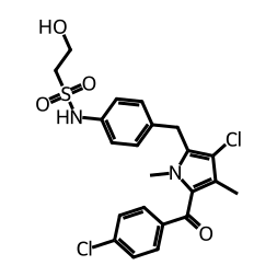 Cc1c(Cl)c(Cc2ccc(NS(=O)(=O)CCO)cc2)n(C)c1C(=O)c1ccc(Cl)cc1